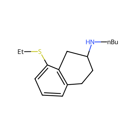 CCCCNC1CCc2cccc(SCC)c2C1